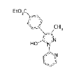 CCOC(=O)c1ccc(-c2c(C)nn(-c3ccccn3)c2O)cc1